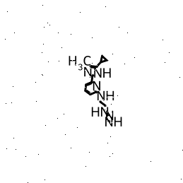 Cc1nc(-c2cccc(NCCNN=N)n2)[nH]c1C1CC1